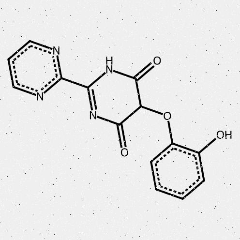 O=C1N=C(c2ncccn2)NC(=O)C1Oc1ccccc1O